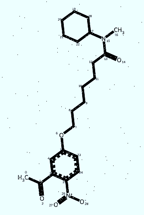 CC(=O)c1cc(OCCCCCCC(=O)N(C)C2CCCCC2)ccc1[N+](=O)[O-]